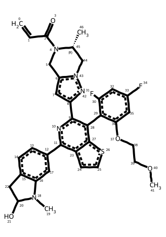 C=CC(=O)N1Cc2cc(-c3nc(-c4ccc5c(c4)N(C)C(O)C5)c4ccsc4c3-c3c(F)cc(F)cc3OCCOC)nn2C[C@H]1C